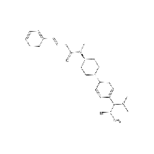 CN(C)C(C(N)=O)c1ccc([C@H]2CC[C@H](N(C)C(=O)CC=Cc3ccccc3)CC2)cc1